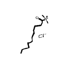 CCCCCCCCCC(=O)[N+](C)(C)C.[Cl-]